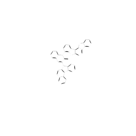 C=C1C(n2c3ccccc3c3c4ccccc4ccc32)=Nc2ccccc2C1c1cccc2c1oc1ccc3c4ccccc4oc3c12